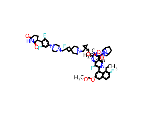 CCc1c(F)ccc2cc(OCOC)cc(-c3ncc4c(N5CC6CCC(C5)N6C(=O)OC(C)(C)C)nc(OCC5(CN6CCC7(CC6)CC(F)(CN6CCN(c8cc(F)c(C9CCC(=O)NC9=O)c(F)c8)CC6)C7)CC5)nc4c3F)c12